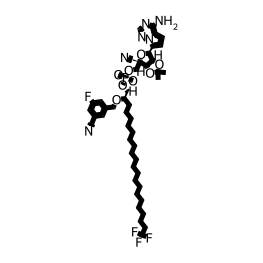 CC1(C)O[C@H]2[C@H](c3ccc4c(N)ncnn34)O[C@](C#N)(COP(=O)(O)OC[C@@H](CCCCCCCCCCCCCCCCCCCC(F)(F)F)OCc3cc(F)cc(C#N)c3)[C@H]2O1